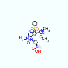 COc1nn(C)cc1-c1cc2c(ncc3c2n([C@@H]2CC[C@@H](NC(=O)O)C2)c(=O)n3C)n1S(=O)(=O)c1ccccc1